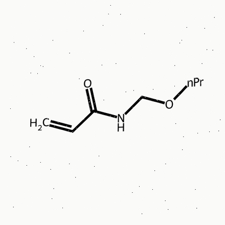 C=CC(=O)NCOCCC